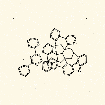 c1ccc(-c2nc(-c3ccccc3)nc(-c3ccc(-c4ccc5oc6cccc7c6c5c4C45CC7CC67CC(CC8(c9ccccc9-c9ccccc9C8C4)C65)c4ccccc4-c4ccccc47)cc3)n2)cc1